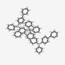 c1ccc(-c2ccc(N(c3ccccc3)c3ccc4cc5c(cc4c3)C3(c4ccccc4-c4ccccc43)c3cc(N(c4ccccc4)c4ccc(-c6ccccc6)cc4)c4ccccc4c3-5)cc2)cc1